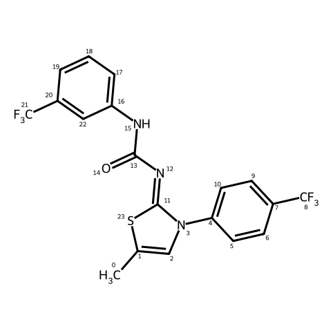 Cc1cn(-c2ccc(C(F)(F)F)cc2)/c(=N/C(=O)Nc2cccc(C(F)(F)F)c2)s1